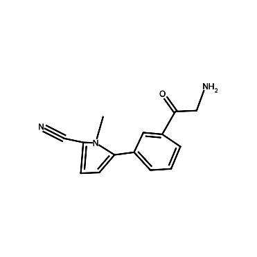 Cn1c(C#N)ccc1-c1cccc(C(=O)CN)c1